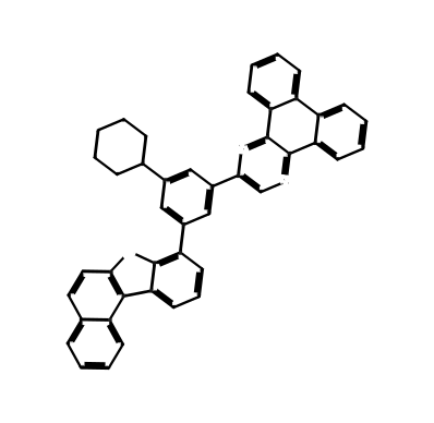 c1ccc2c(c1)ccc1oc3c(-c4cc(-c5cnc6c7ccccc7c7ccccc7c6n5)cc(C5CCCCC5)c4)cccc3c12